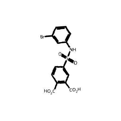 O=C(O)c1ccc(S(=O)(=O)Nc2cccc(Br)c2)cc1C(=O)O